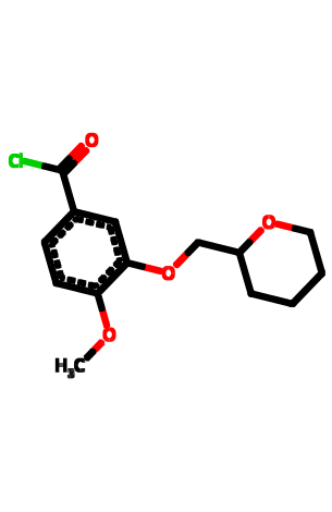 COc1ccc(C(=O)Cl)cc1OCC1CCCCO1